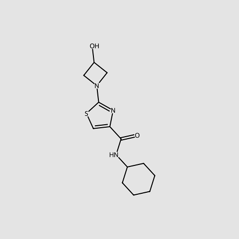 O=C(NC1CCCCC1)c1csc(N2CC(O)C2)n1